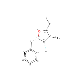 [2H]C1[C@@H](CC)O[C@@H](Cc2ccccc2)[C@H]1F